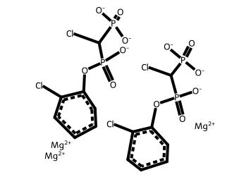 O=P([O-])([O-])C(Cl)P(=O)([O-])Oc1ccccc1Cl.O=P([O-])([O-])C(Cl)P(=O)([O-])Oc1ccccc1Cl.[Mg+2].[Mg+2].[Mg+2]